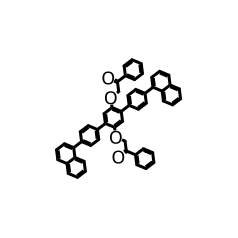 O=C(COc1cc(-c2ccc(-c3cccc4ccccc34)cc2)c(OCC(=O)c2ccccc2)cc1-c1ccc(-c2cccc3ccccc23)cc1)c1ccccc1